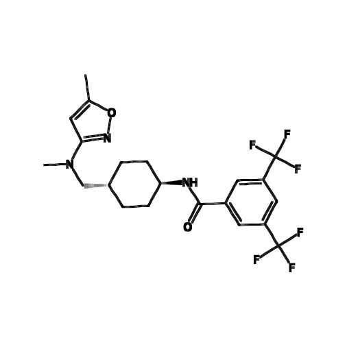 Cc1cc(N(C)C[C@H]2CC[C@H](NC(=O)c3cc(C(F)(F)F)cc(C(F)(F)F)c3)CC2)no1